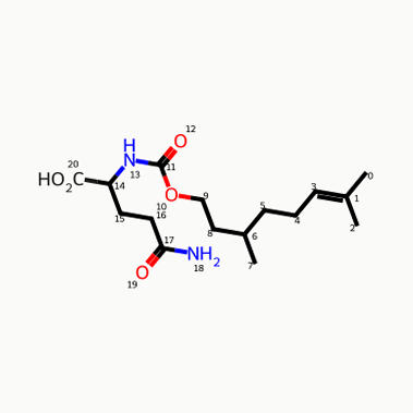 CC(C)=CCCC(C)CCOC(=O)NC(CCC(N)=O)C(=O)O